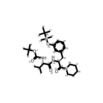 CC(C)[C@H](NC(=O)OC(C)(C)C)C(=O)N[C@@H](Cc1cccc(O[Si](C)(C)C(C)(C)C)c1)C(=O)N1CCCCC1